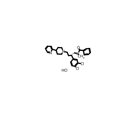 CN(C[C@@H](CCN1CCC(c2ccccn2)CC1)c1ccc(Cl)c(Cl)c1)C(=O)c1ccccc1.Cl